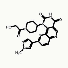 Cn1cc(-c2ccc3ncc4c(=O)[nH]c(=O)n(C5CCN(C(=O)CO)CC5)c4c3n2)cn1